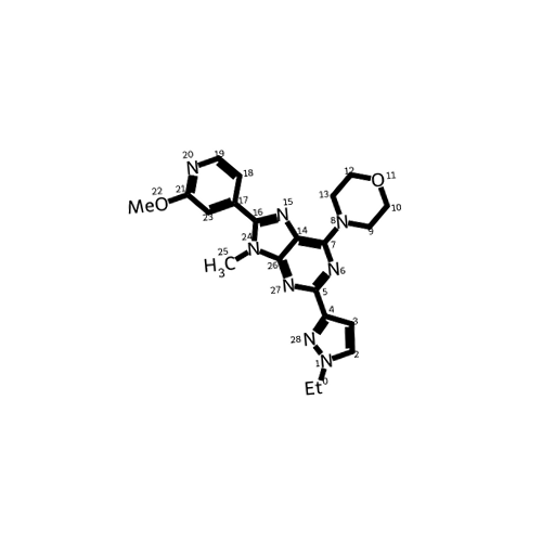 CCn1ccc(-c2nc(N3CCOCC3)c3nc(-c4ccnc(OC)c4)n(C)c3n2)n1